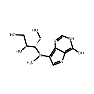 CN(c1cnc2c(O)[nH]cnc1-2)[C@@H](CO)[C@@H](O)CO